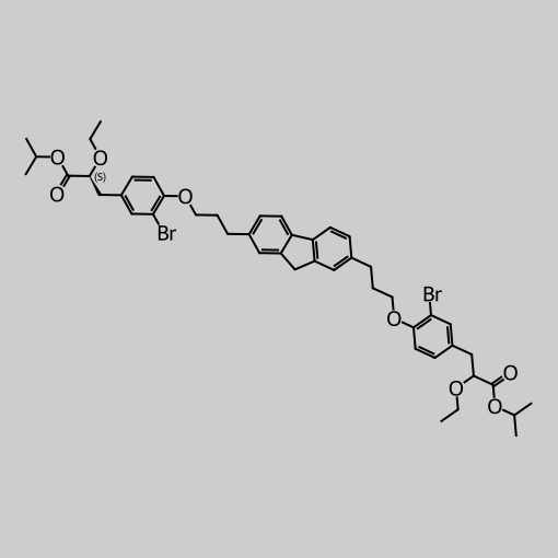 CCOC(Cc1ccc(OCCCc2ccc3c(c2)Cc2cc(CCCOc4ccc(C[C@H](OCC)C(=O)OC(C)C)cc4Br)ccc2-3)c(Br)c1)C(=O)OC(C)C